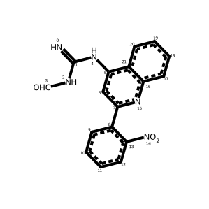 N=C(NC=O)Nc1cc(-c2ccccc2[N+](=O)[O-])nc2ccccc12